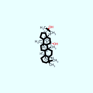 CC(C)(O)[C@H]1CC[C@]2(C)[C@H]3CC[C@@H]4[C@@]5(C)CCCC(C)(C)[C@@H]5CC[C@@]4(C)[C@]3(C)[C@@H](O)C[C@@H]12